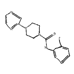 Fc1ccccc1NC(=S)N1CCN(c2cnccn2)CC1